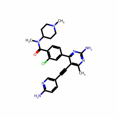 Cc1nc(N)nc(-c2ccc(C(=O)N(C)C3CCN(C)CC3)c(Cl)c2)c1C#Cc1ccc(N)nc1